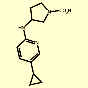 O=C(O)N1CCC(Nc2ccc(C3CC3)cn2)C1